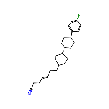 N#C/C=C/C=C/CCC1CCC([C@H]2CC[C@H](c3ccc(F)cc3)CC2)CC1